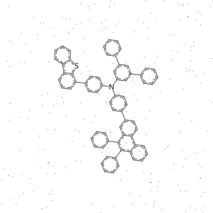 c1ccc(-c2cc(-c3ccccc3)cc(N(c3ccc(-c4ccc5c(c4)c(-c4ccccc4)c(-c4ccccc4)c4ccccc45)cc3)c3ccc(-c4cccc5c4sc4ccccc45)cc3)c2)cc1